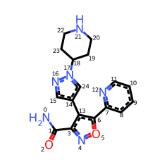 NC(=O)c1noc(-c2ccccn2)c1-c1cnn(C2CCNCC2)c1